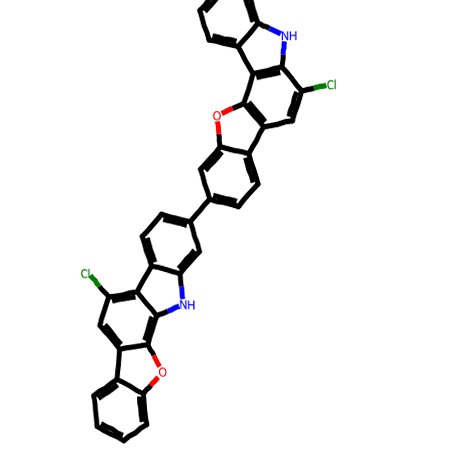 Clc1cc2c3ccc(-c4ccc5c(c4)[nH]c4c6oc7ccccc7c6cc(Cl)c54)cc3oc2c2c1[nH]c1ccccc12